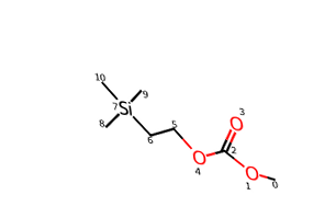 COC(=O)OCC[Si](C)(C)C